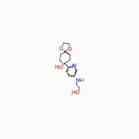 OCCNc1ccc(C2(O)CCC3(CC2)OCCO3)nc1